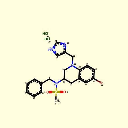 CS(=O)(=O)N(Cc1ccccc1)C1Cc2cc(Br)ccc2N(Cc2c[nH]cn2)C1.Cl.Cl